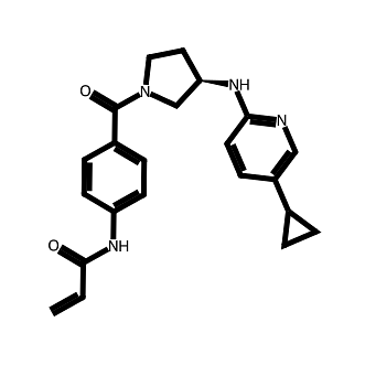 C=CC(=O)Nc1ccc(C(=O)N2CC[C@@H](Nc3ccc(C4CC4)cn3)C2)cc1